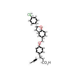 CC#C[C@@H](CC(=O)O)c1ccc(OCc2ccc3c(c2)C[C@H](c2ccc(Cl)cc2)O3)cc1